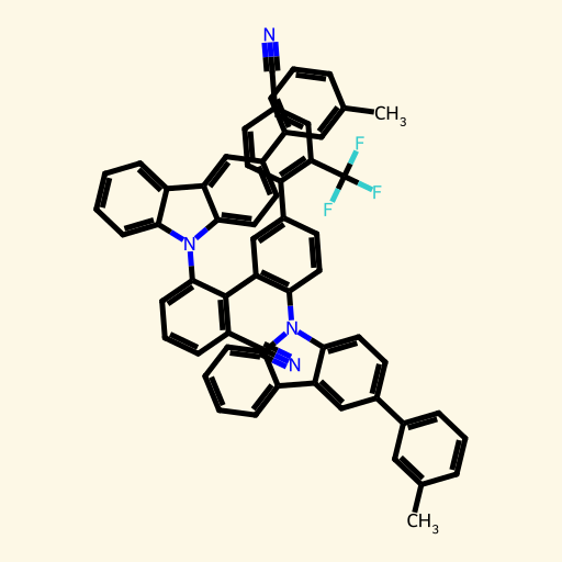 Cc1cccc(-c2ccc3c(c2)c2ccccc2n3-c2ccc(-c3ccc(C#N)cc3C(F)(F)F)cc2-c2c(C#N)cccc2-n2c3ccccc3c3cc(-c4cccc(C)c4)ccc32)c1